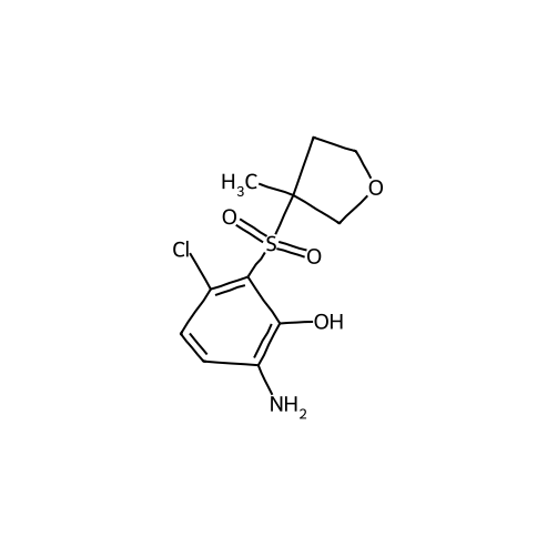 CC1(S(=O)(=O)c2c(Cl)ccc(N)c2O)CCOC1